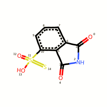 O=C1NC(=O)c2c1cccc2S(=O)(O)=S